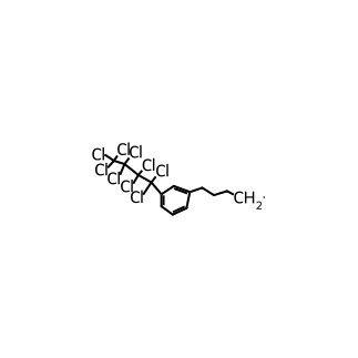 [CH2]CCCc1cccc(C(Cl)(Cl)C(Cl)(Cl)C(Cl)(Cl)C(Cl)(Cl)Cl)c1